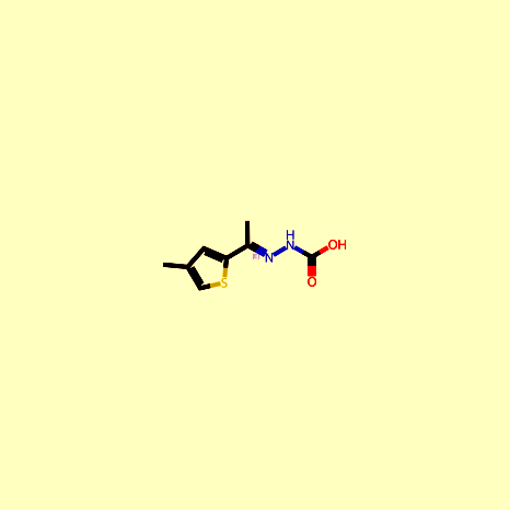 C/C(=N\NC(=O)O)c1cc(C)cs1